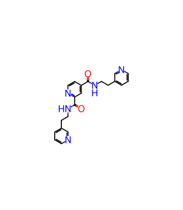 O=C(NCCc1cccnc1)c1ccnc(C(=O)NCCc2cccnc2)c1